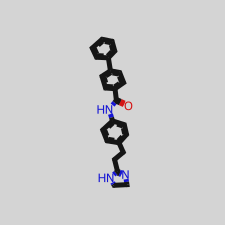 O=C(Nc1ccc(CCC2=NCCN2)cc1)c1ccc(-c2ccccc2)cc1